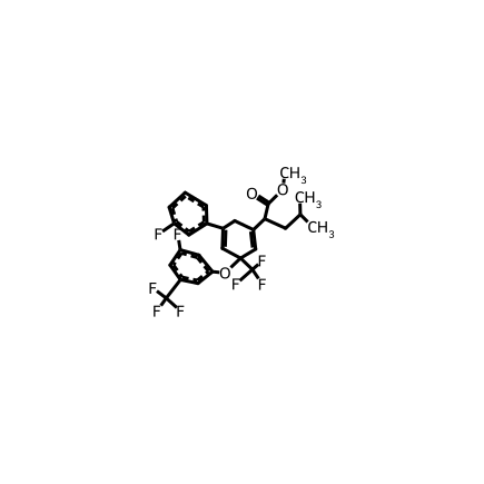 COC(=O)C(CC(C)C)C1=CC(Oc2cc(F)cc(C(F)(F)F)c2)(C(F)(F)F)C=C(c2cccc(F)c2)C1